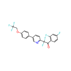 O=C(c1ccc(F)cc1F)C(F)(F)c1ccc(-c2ccc(OCC(F)(F)F)cc2)cn1